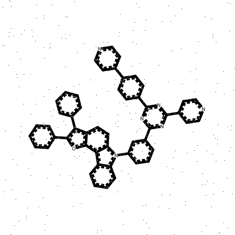 c1ccc(-c2oc3c(ccc4c3c3ccccc3n4-c3cccc(-c4nc(-c5ccncc5)nc(-c5ccc(-c6ccncc6)cc5)n4)c3)c2-c2ccccc2)cc1